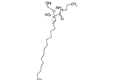 CCCCCCCCCCCCC/C=C/[C@](O)(C(=O)CCCC)[C@@H](N)CO